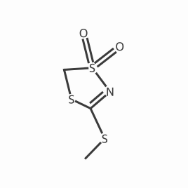 CSC1=NS(=O)(=O)CS1